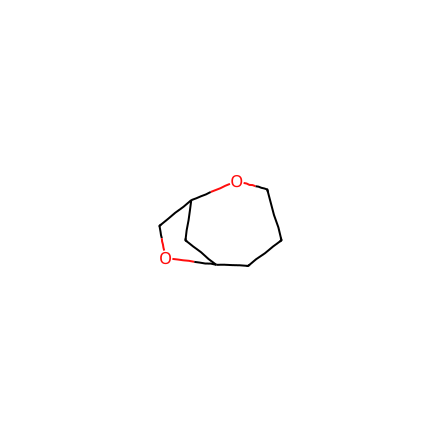 C1COC2COC(C1)C2